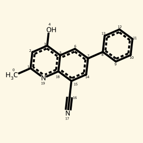 Cc1cc(O)c2cc(-c3ccccc3)cc(C#N)c2n1